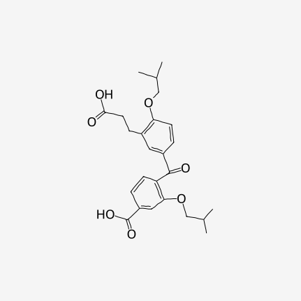 CC(C)COc1ccc(C(=O)c2ccc(C(=O)O)cc2OCC(C)C)cc1CCC(=O)O